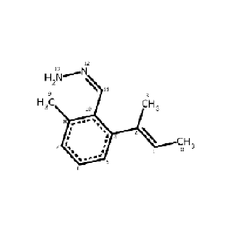 C/C=C(\C)c1cccc(C)c1/C=N\N